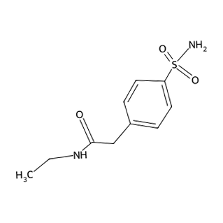 CCNC(=O)Cc1ccc(S(N)(=O)=O)cc1